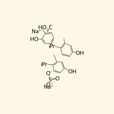 Cc1cc(O)ccc1C(C)C.Cc1cc(O)ccc1C(C)C.O=C(O)c1ccccc1O.O=S([O-])[O-].[Na+].[Na+]